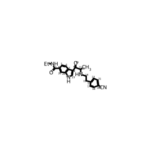 CCNC(=O)c1ccc2c(C(=O)C(C)NCCc3ccc(C#N)cc3)c[nH]c2c1